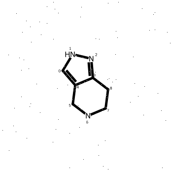 c1[nH]nc2c1C[N]CC2